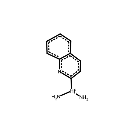 [NH2][Hf]([NH2])[c]1ccc2ccccc2n1